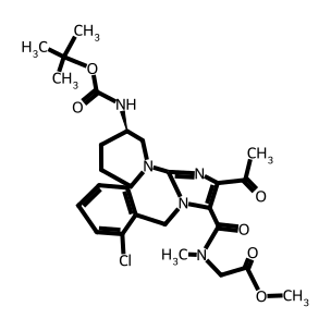 COC(=O)CN(C)C(=O)c1c(C(C)=O)nc(N2CCC[C@@H](NC(=O)OC(C)(C)C)C2)n1Cc1ccccc1Cl